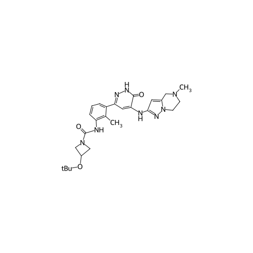 Cc1c(NC(=O)N2CC(OC(C)(C)C)C2)cccc1-c1cc(Nc2cc3n(n2)CCN(C)C3)c(=O)[nH]n1